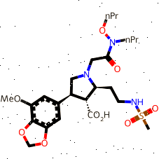 CCCON(CCC)C(=O)CN1C[C@H](c2cc(OC)c3c(c2)OCO3)[C@@H](C(=O)O)[C@@H]1CCNS(C)(=O)=O